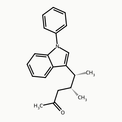 CC(=O)C[C@@H](C)[C@@H](C)c1cn(-c2ccccc2)c2ccccc12